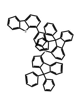 c1ccc(C2(c3ccccc3)c3ccccc3-c3c(N(c4ccc(-c5cccc6c5sc5ccccc56)cc4)c4cccc5c4C(c4ccccc4)(c4ccccc4)c4ccccc4-5)cccc32)cc1